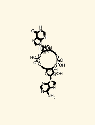 Nc1ncnc2c1ncn2C1OC2COP(=O)(O)O[C@H]3C(n4cnc5c(=O)[nH]cnc54)OC(COP(=O)(O)O[C@H]2[C@H]1O)[C@H]3O